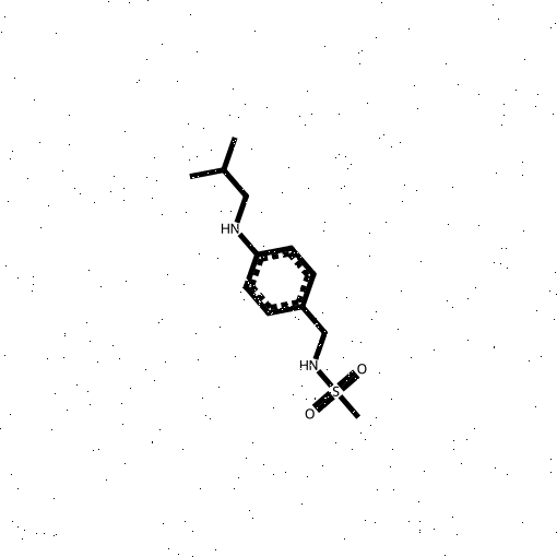 CC(C)CNc1ccc(CNS(C)(=O)=O)cc1